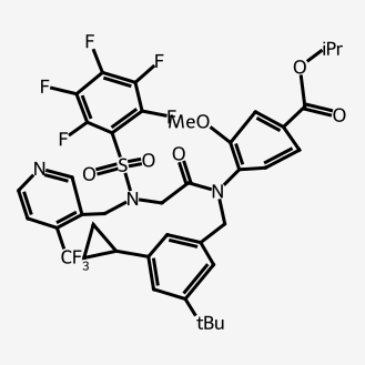 COc1cc(C(=O)OC(C)C)ccc1N(Cc1cc(C2CC2)cc(C(C)(C)C)c1)C(=O)CN(Cc1cnccc1C(F)(F)F)S(=O)(=O)c1c(F)c(F)c(F)c(F)c1F